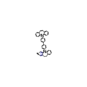 C#C/C=C1/CCc2ccccc2N(c2ccc(-c3ccc(N4c5ccccc5C=Cc5ccccc54)cc3)cc2)/C1=C/C